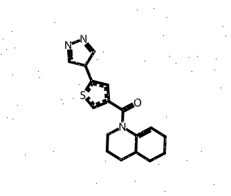 O=C(c1csc(C2C=NN=C2)c1)N1CCCC2CCCC=C21